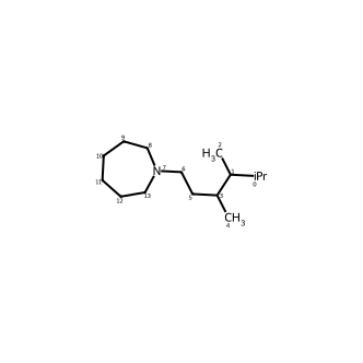 CC(C)C(C)C(C)CCN1CCCCCC1